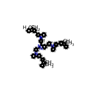 CC1(C)c2ccccc2-c2cc(-c3ccc4c(c3)c3ccccc3n4-c3ccc(-c4nc(-c5cccc(-n6c7ccccc7c7cc(-c8ccc9c(c8)-c8ccccc8C9(C)C)ccc76)c5)nc5ccc(-c6cccc(-n7c8ccccc8c8cc(-c9ccc%10c(c9)-c9ccccc9C%10(C)C)ccc87)c6)cc45)cc3)ccc21